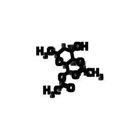 CC(=O)OCC1OC(C)CC(O)C1OC(C)=O